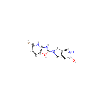 O=c1cc2c(c[nH]1)CN(c1nc3nc(Br)ccc3o1)C2